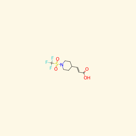 O=C(O)C=CC1CCN(S(=O)(=O)C(F)(F)F)CC1